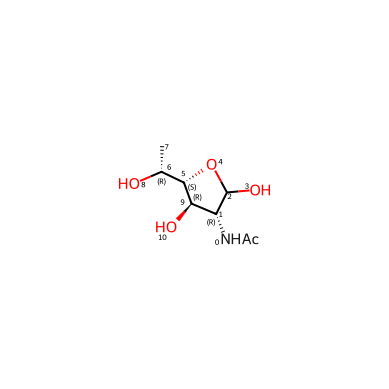 CC(=O)N[C@H]1C(O)O[C@@H]([C@@H](C)O)[C@@H]1O